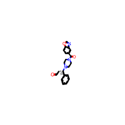 O=CC[C@@H](c1ccccc1)N1CCN(C(=O)c2ccc3ocnc3c2)CC1